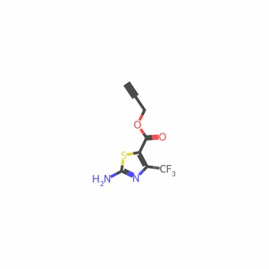 C#CCOC(=O)c1sc(N)nc1C(F)(F)F